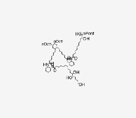 CCCCCCCCC1CC(CCCCCCC(=O)C[C@@H]2CCCC[C@@H]2NC(=O)CCCCCCCCCC(O)C(O)CCCCC)C(CCCCCCC(=O)N[C@H]2CCCC[C@H]2NC(=O)CCCCCCCCCC(O)C(O)CCCCO)CC1CCCCCCCC